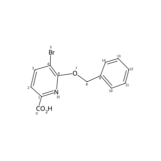 O=C(O)c1ccc(Br)c(OCc2ccccc2)n1